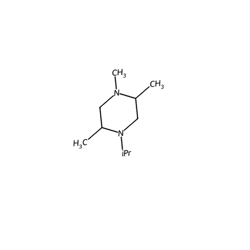 CC1CN(C(C)C)C(C)CN1C